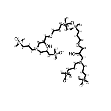 C[N+](C)([O-])CCCN(CCC[N+](C)(C)[O-])CC(O)COCCC[Si](C)(C)O[Si](C)(C)CCCOCC(O)CN(CCC[N+](C)(C)[O-])CCC[N+](C)(C)[O-]